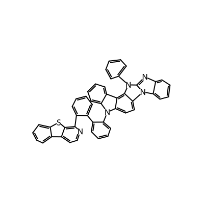 c1ccc(-n2c3c4c5ccccc5n(-c5ccccc5-c5ccccc5-c5nccc6c5sc5ccccc56)c4ccc3n3c4ccccc4nc23)cc1